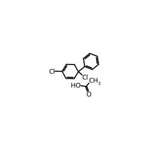 CC(=O)O.ClC1=CCC(Cl)(c2ccccc2)C=C1